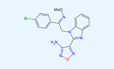 CON=C(Cn1c(-c2nonc2N)nc2ccccc21)c1ccc(Br)cc1